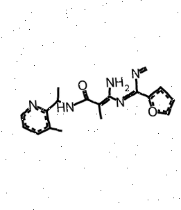 C=N/C(=N\C(N)=C(/C)C(=O)NC(C)c1ncccc1C)c1ccco1